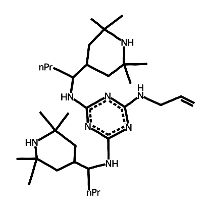 C=CCNc1nc(NC(CCC)C2CC(C)(C)NC(C)(C)C2)nc(NC(CCC)C2CC(C)(C)NC(C)(C)C2)n1